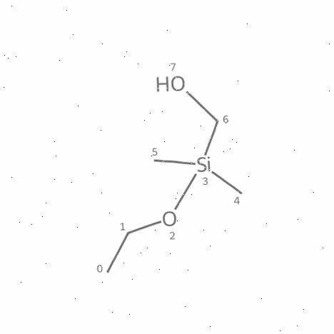 CCO[Si](C)(C)CO